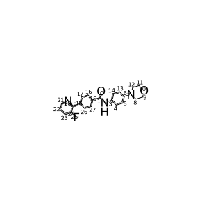 O=C(Nc1ccc(N2CCOCC2)cc1)c1ccc(-c2ncccc2F)cc1